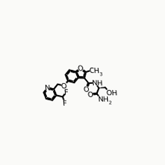 Cc1oc2ccc(OCc3ncccc3C(F)F)cc2c1C(=O)N[C@@H](CO)C(N)=O